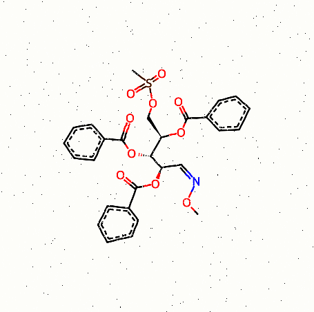 CO/N=C\[C@@H](OC(=O)c1ccccc1)[C@H](OC(=O)c1ccccc1)[C@@H](COS(C)(=O)=O)OC(=O)c1ccccc1